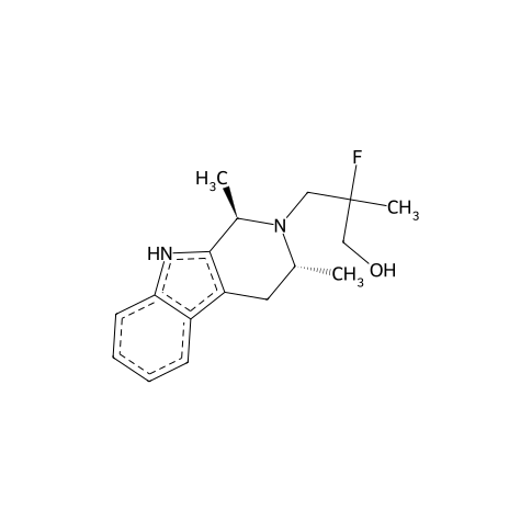 C[C@@H]1Cc2c([nH]c3ccccc23)[C@@H](C)N1CC(C)(F)CO